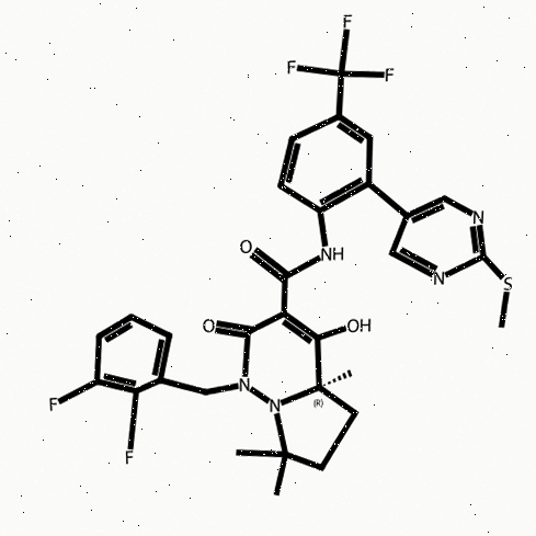 CSc1ncc(-c2cc(C(F)(F)F)ccc2NC(=O)C2=C(O)[C@@]3(C)CCC(C)(C)N3N(Cc3cccc(F)c3F)C2=O)cn1